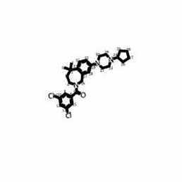 CC1(C)CCN(C(=O)c2cc(Cl)cc(Cl)c2)Cc2cc(N3CCN(C4CCCC4)CC3)ccc21